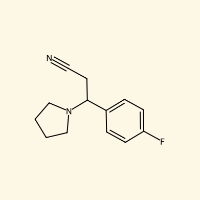 N#CCC(c1ccc(F)cc1)N1CCCC1